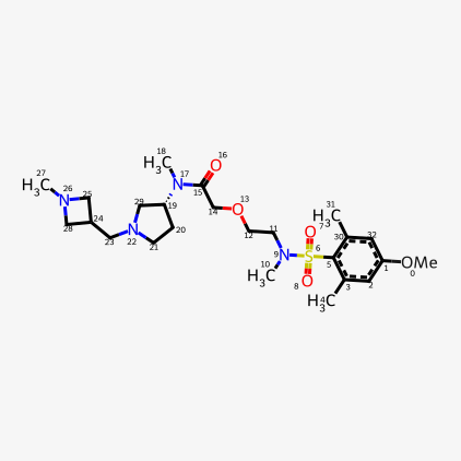 COc1cc(C)c(S(=O)(=O)N(C)CCOCC(=O)N(C)[C@@H]2CCN(CC3CN(C)C3)C2)c(C)c1